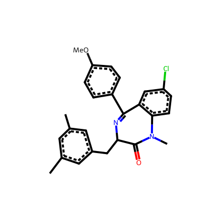 COc1ccc(C2=NC(Cc3cc(C)cc(C)c3)C(=O)N(C)c3ccc(Cl)cc32)cc1